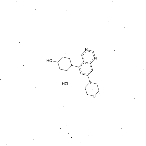 Cl.OC1CCC(c2cc(N3CCOCC3)cc3ncncc23)CC1